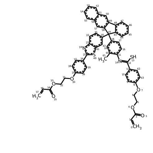 C=CC(=O)OCCOc1ccc(/C(S)=N/c2ccc(C3(c4ccc5nc(-c6ccc(OCCOC(=O)C=C)cc6)sc5c4)c4ccccc4-c4cc5ccccc5cc43)cc2C)cc1